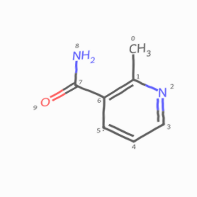 Cc1ncc[c]c1C(N)=O